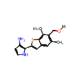 CCOCc1c(C)cc2cc(-c3[nH]ccc3N)sc2c1OC